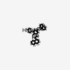 c1ccc2c(-c3ncc4c(N5CCNCC5)nc(OCC56CCCN5CCC6)cc4n3)cccc2c1